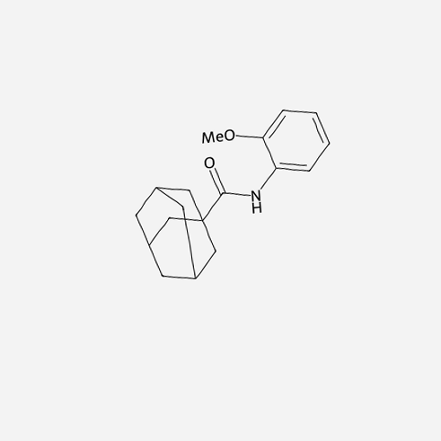 COc1ccccc1NC(=O)C12CC3CC(CC(C3)C1)C2